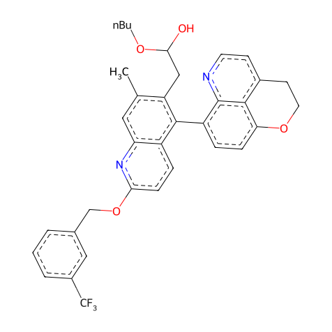 CCCCOC(O)Cc1c(C)cc2nc(OCc3cccc(C(F)(F)F)c3)ccc2c1-c1ccc2c3c(ccnc13)CCO2